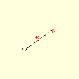 CCCCCC=CCC=CCC(O)CCCCCCCCCCC(=O)O